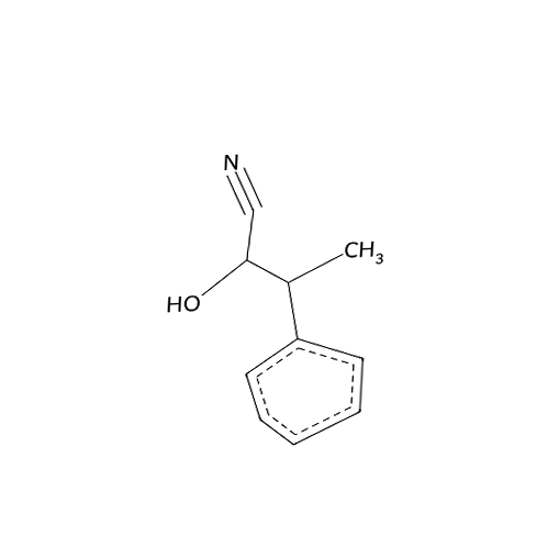 CC(c1ccccc1)C(O)C#N